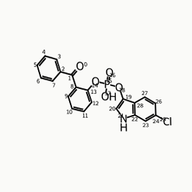 O=C(c1ccccc1)c1ccccc1OP(=O)(O)Oc1c[nH]c2cc(Cl)ccc12